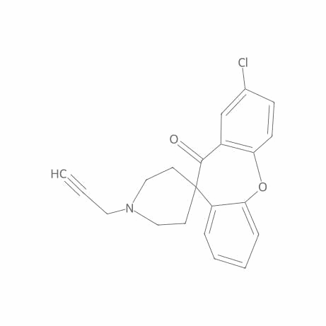 C#CCN1CCC2(CC1)C(=O)c1cc(Cl)ccc1Oc1ccccc12